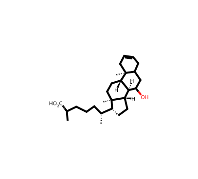 CC(CCC[C@@H](C)[C@H]1CC[C@H]2[C@@H]3C(O)CC4CC=CC[C@]4(C)[C@H]3CC[C@]12C)C(=O)O